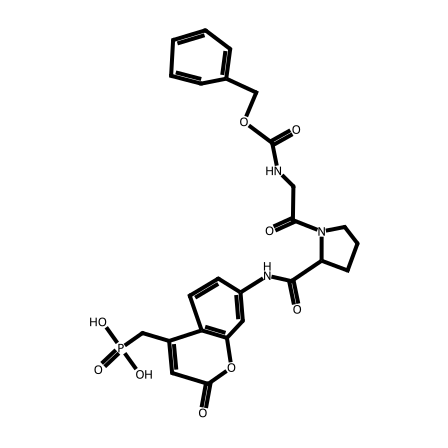 O=C(NCC(=O)N1CCCC1C(=O)Nc1ccc2c(CP(=O)(O)O)cc(=O)oc2c1)OCc1ccccc1